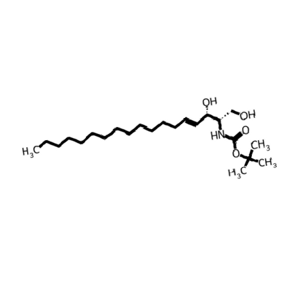 CCCCCCCCCCCCC/C=C/[C@H](O)[C@H](CO)NC(=O)OC(C)(C)C